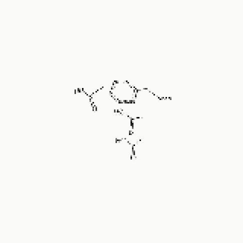 CC(=O)O.CC(=O)O.CC(=O)O.[SnH][CH2]c1ccccc1